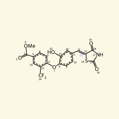 COC(=O)c1ccc(Oc2ccc(/C=C3\SC(=O)NC3=O)cc2O)c(C(F)(F)F)c1